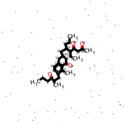 CCCC(=O)C(C)Cc1ccc2c(c1C)C(=O)CC(CC(CCC)C(CC)C(=O)CC(C)=O)C2